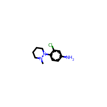 CN1CCCCN1c1ccc(N)cc1Cl